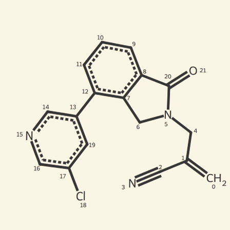 C=C(C#N)CN1Cc2c(cccc2-c2cncc(Cl)c2)C1=O